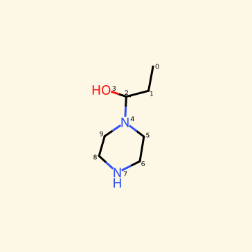 CC[C](O)N1CCNCC1